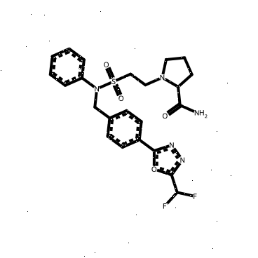 NC(=O)C1CCCN1CCS(=O)(=O)N(Cc1ccc(-c2nnc(C(F)F)o2)cc1)c1ccccc1